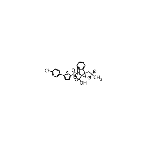 CS(=O)(=O)C[C@@]1(c2ccccc2)C[C@]1(NS(=O)(=O)c1ccc(-c2ccc(Cl)cc2)s1)C(=O)O